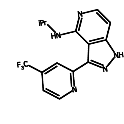 CC(C)Nc1nccc2[nH]nc(-c3cc(C(F)(F)F)ccn3)c12